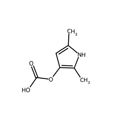 Cc1cc(OC(=O)O)c(C)[nH]1